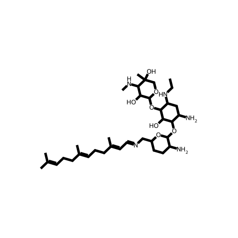 CCNC1CC(N)C(OC2OC(C/N=C/C=C(\C)CC/C=C(\C)CCC=C(C)C)CCC2N)C(O)C1OC1OCC(C)(O)C(NC)C1O